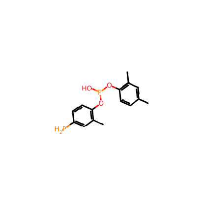 Cc1ccc(OP(O)Oc2ccc(P)cc2C)c(C)c1